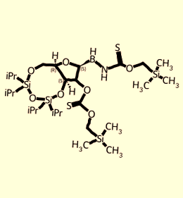 CC(C)[Si]1(C(C)C)OC[C@H]2O[C@@H](BNC(=S)OC[Si](C)(C)C)C(OC(=S)OC[Si](C)(C)C)[C@H]2O[Si](C(C)C)(C(C)C)O1